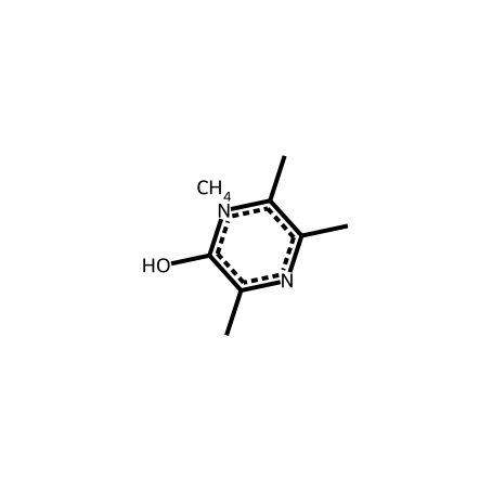 C.Cc1nc(C)c(O)nc1C